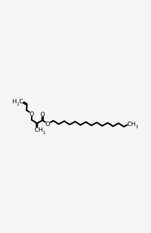 C=CCOCC(=C)C(=O)OCCCCCCCCCCCCCCC